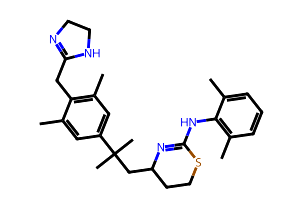 Cc1cc(C(C)(C)CC2CCSC(Nc3c(C)cccc3C)=N2)cc(C)c1CC1=NCCN1